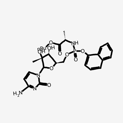 CCCCOC(=O)[C@H](C)NP(=O)(OC[C@H]1OC(n2ccc(N)nc2=O)[C@](C)(O)[C@@H]1O)Oc1cccc2ccccc12